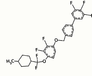 CC1CCC(C(F)(F)Oc2ccc(OCc3ccc(-c4cc(F)c(F)c(F)c4)cc3)c(F)c2F)CC1